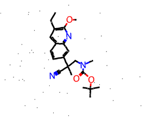 CCc1cc2ccc(C(C)(C#N)CN(C)C(=O)OC(C)(C)C)cc2nc1OC